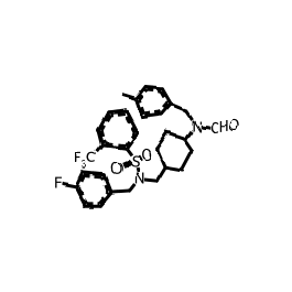 Cc1ccc(CN(C=O)C2CCC(CN(Cc3ccc(F)cc3)S(=O)(=O)c3ccccc3C(F)(F)F)CC2)cc1